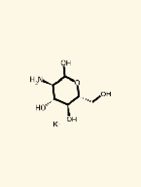 N[C@H]1C(O)O[C@H](CO)[C@@H](O)[C@@H]1O.[K]